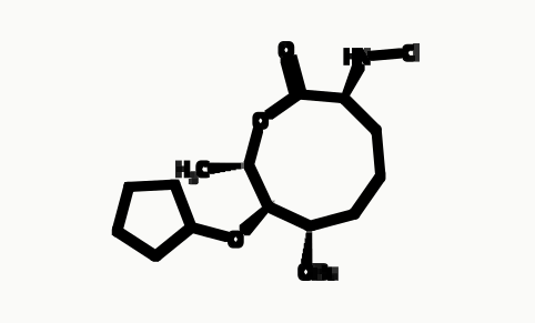 CC(C)CO[C@H]1CCC[C@H](NCl)C(=O)O[C@@H](C)[C@@H]1OC1CCCC1